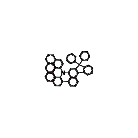 c1ccc(-c2cccc(-c3ccccc3)c2N(c2ccc3c(c2)C(c2ccccc2)(c2ccccc2)c2ccccc2-3)c2ccc3ccccc3c2-c2ccccc2)cc1